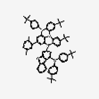 Cc1ccc(C)c(-c2cc3c4c(c2)N(c2cc(N(c5ccc(C(C)(C)C)cc5)c5ccc(C(C)(C)C)cc5)c5c(c2)oc2ccccc25)c2ccc(C(C)(C)C)cc2B4c2cc(C(C)(C)C)ccc2N3c2ccc(C(C)(C)C)cc2)c1